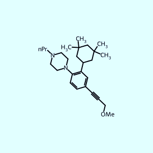 CCCN1CCN(c2ccc(C#CCOC)cc2C2CC(C)(C)CC(C)(C)C2)CC1